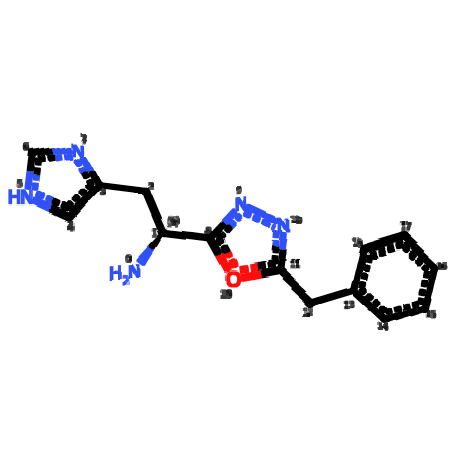 N[C@@H](Cc1c[nH]cn1)c1nnc(Cc2ccccc2)o1